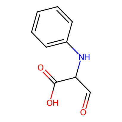 O=CC(Nc1ccccc1)C(=O)O